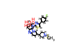 CCc1nc2ccc(C3CCN(SC)CC3)cn2c1N(c1nc(-c2ccc(F)cc2)cs1)C(O)(O)O